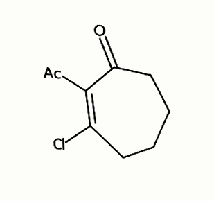 CC(=O)C1=C(Cl)CCCCC1=O